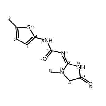 Cc1ccc(NC(=O)N=C2NC(=O)CN2C)s1